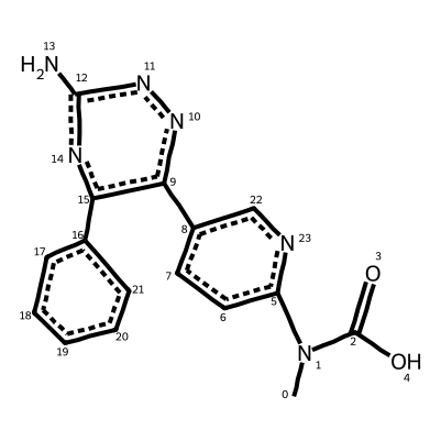 CN(C(=O)O)c1ccc(-c2nnc(N)nc2-c2ccccc2)cn1